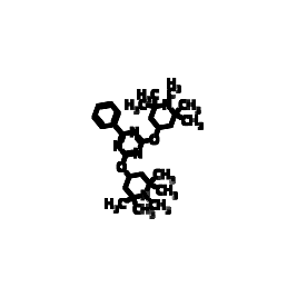 CN1C(C)(C)CC(Oc2nc(OC3CC(C)(C)N(C)C(C)(C)C3)nc(-c3ccccc3)n2)CC1(C)C